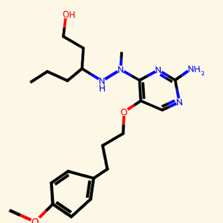 CCCC(CCO)NN(C)c1nc(N)ncc1OCCCc1ccc(OC)cc1